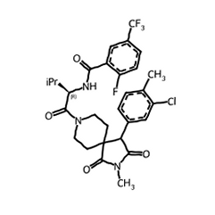 Cc1ccc(C2C(=O)N(C)C(=O)C23CCN(C(=O)[C@H](NC(=O)c2cc(C(F)(F)F)ccc2F)C(C)C)CC3)cc1Cl